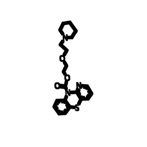 O=C(OCCOCCN1CCCCC1)N1c2ccccc2Sc2cccnc21